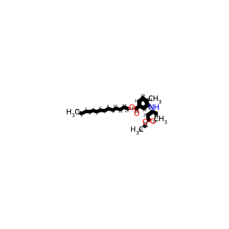 CCCCCCCCCCCCCCOC(=O)c1ccc(C)c(NC(=CC(=O)OCC)CC)c1